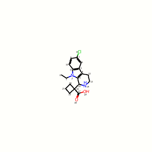 CCn1c2c(c3cc(Cl)ccc31)CCNC2C1(C(=O)O)CCC1